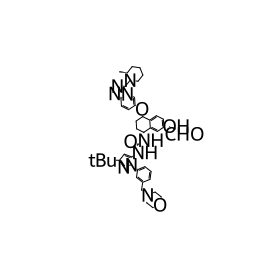 C[C@H]1CCCCN1c1nnc2ccc(O[C@@H]3CC[C@H](NC(=O)Nc4cc(C(C)(C)C)nn4-c4cccc(CN5CCOCC5)c4)c4ccccc43)cn12.O=CO